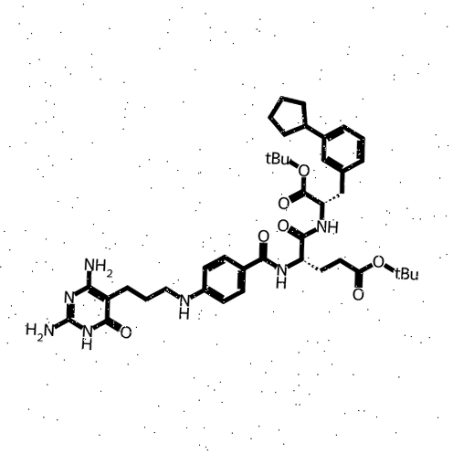 CC(C)(C)OC(=O)CC[C@H](NC(=O)c1ccc(NCCCc2c(N)nc(N)[nH]c2=O)cc1)C(=O)N[C@@H](Cc1cccc(C2CCCC2)c1)C(=O)OC(C)(C)C